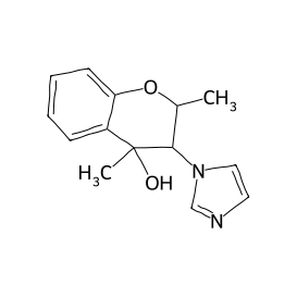 CC1Oc2ccccc2C(C)(O)C1n1ccnc1